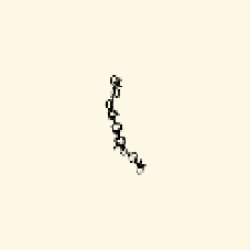 Cc1cc(C2=CCC(c3ccc(OCCOCC4(C)CO4)cc3)CC2)ccc1OCCOCC1(C)CO1